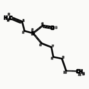 C=CCN(C=O)CCCCCC